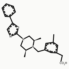 Cc1cc(CC(=O)O)cc(CN2[C@H](C)CN(c3ncc(-c4ccccc4)s3)C[C@@H]2C)c1